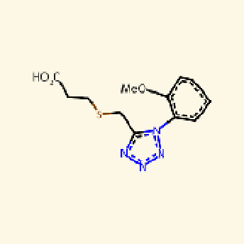 COc1ccccc1-n1nnnc1CSCCC(=O)O